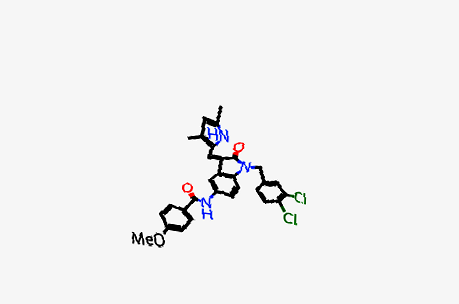 COc1ccc(C(=O)Nc2ccc3c(c2)/C(=C/c2[nH]c(C)cc2C)C(=O)N3Cc2ccc(Cl)c(Cl)c2)cc1